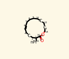 CCCC1CCCC=CCCCCCCCCOC1=O